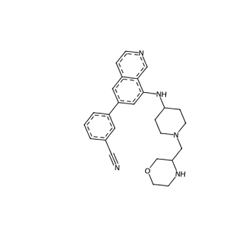 N#Cc1cccc(-c2cc(NC3CCN(CC4COCCN4)CC3)c3cnccc3c2)c1